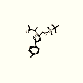 CC(=O)C(C)n1nc(-c2ccc(F)cc2)cc1CO[Si](C)(C)C(C)(C)C